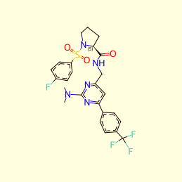 CN(C)c1nc(CNC(=O)[C@@H]2CCCN2S(=O)(=O)c2ccc(F)cc2)cc(-c2ccc(C(F)(F)F)cc2)n1